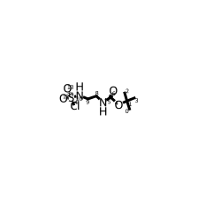 CC(C)(C)OC(=O)NCCNS(=O)(=O)Cl